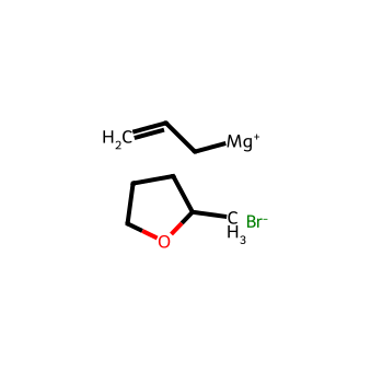 C=C[CH2][Mg+].CC1CCCO1.[Br-]